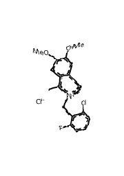 COc1cc2cc[n+](Cc3c(F)cccc3Cl)c(C)c2cc1OC.[Cl-]